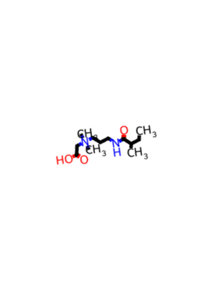 CCC(C)C(=O)NCCC[N+](C)(C)CC(=O)O